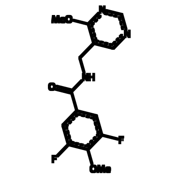 COc1ncncc1CNC(=O)c1cc(F)c(OC)c(F)c1